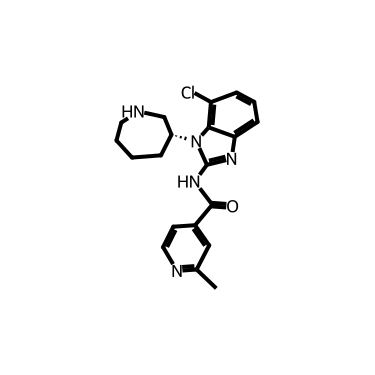 Cc1cc(C(=O)Nc2nc3cccc(Cl)c3n2[C@@H]2CCCCNC2)ccn1